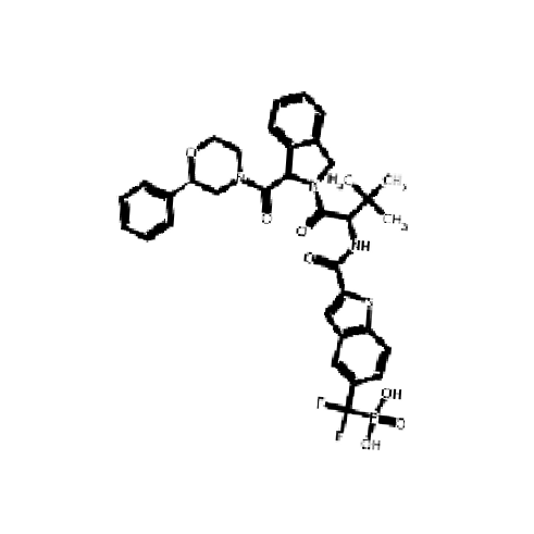 CC(C)(C)C(NC(=O)c1cc2cc(C(F)(F)P(=O)(O)O)ccc2s1)C(=O)N1Cc2ccccc2C1C(=O)N1CCO[C@H](c2ccccc2)C1